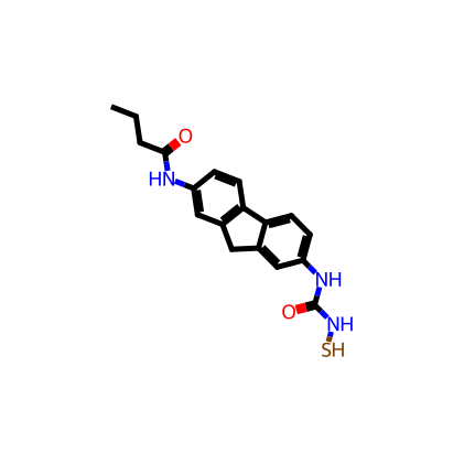 CCCC(=O)Nc1ccc2c(c1)Cc1cc(NC(=O)NS)ccc1-2